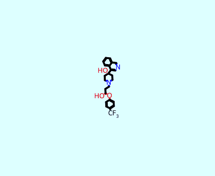 OC(CCN1CCC(O)(c2cncc3ccccc23)CC1)Oc1ccc(C(F)(F)F)cc1